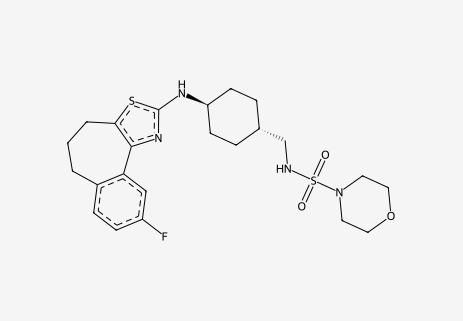 O=S(=O)(NC[C@H]1CC[C@H](Nc2nc3c(s2)CCCc2ccc(F)cc2-3)CC1)N1CCOCC1